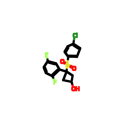 O=S(=O)(c1ccc(Cl)cc1)C1(c2cc(F)ccc2F)CC(O)C1